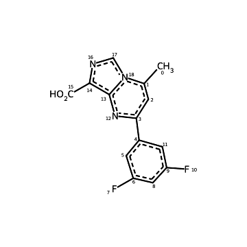 Cc1cc(-c2cc(F)cc(F)c2)nc2c(C(=O)O)ncn12